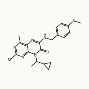 CSc1ccc(CNc2nc3c(C)nc(Cl)nc3n(C(C)C3CC3)c2=O)cc1